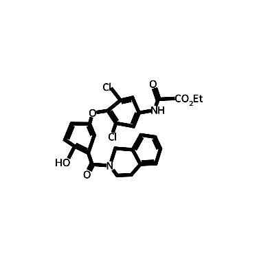 CCOC(=O)C(=O)Nc1cc(Cl)c(Oc2ccc(O)c(C(=O)N3CCc4ccccc4C3)c2)c(Cl)c1